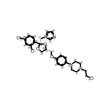 ClCCN1CCN(c2ccc(OC[C@@H]3CO[C@@](Cn4ccnc4)(c4ccc(Cl)cc4Cl)O3)cc2)CC1